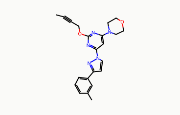 CC#CCOc1nc(N2CCOCC2)cc(-n2ccc(-c3cccc(C)c3)n2)n1